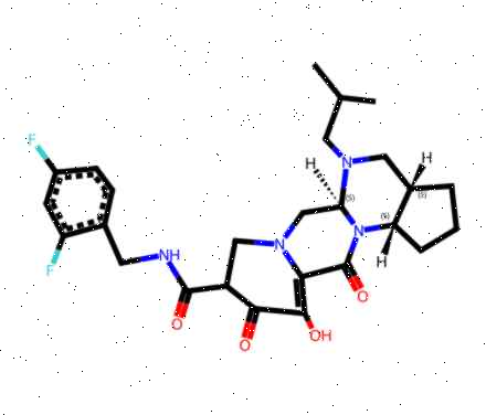 CC(C)CN1C[C@@H]2CCC[C@@H]2N2C(=O)C3=C(O)C(=O)C(C(=O)NCc4ccc(F)cc4F)CN3C[C@@H]12